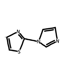 [c]1csc(-n2ccnc2)n1